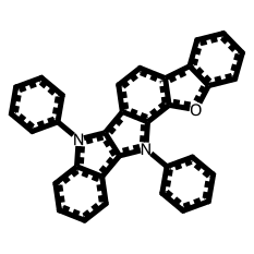 c1ccc(-n2c3ccccc3c3c2c2ccc4c5ccccc5oc4c2n3-c2ccccc2)cc1